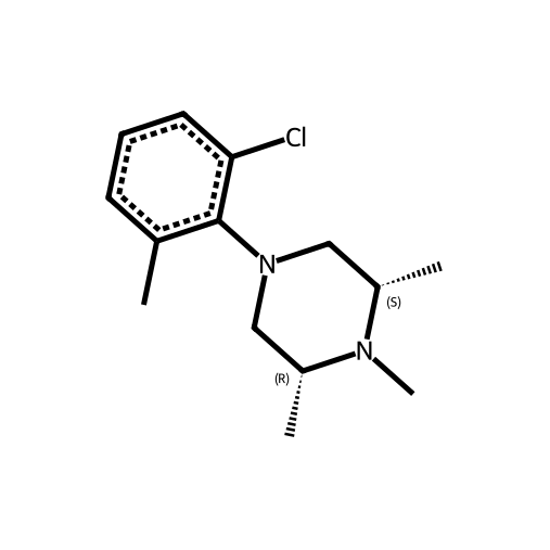 Cc1cccc(Cl)c1N1C[C@@H](C)N(C)[C@@H](C)C1